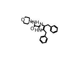 O=C(NN1CCOCC1)c1nc(Cc2ccccc2)c(Cc2ccccc2)[nH]1